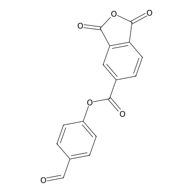 O=Cc1ccc(OC(=O)c2ccc3c(c2)C(=O)OC3=O)cc1